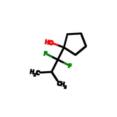 CC(C)C(F)(F)C1(O)CCCC1